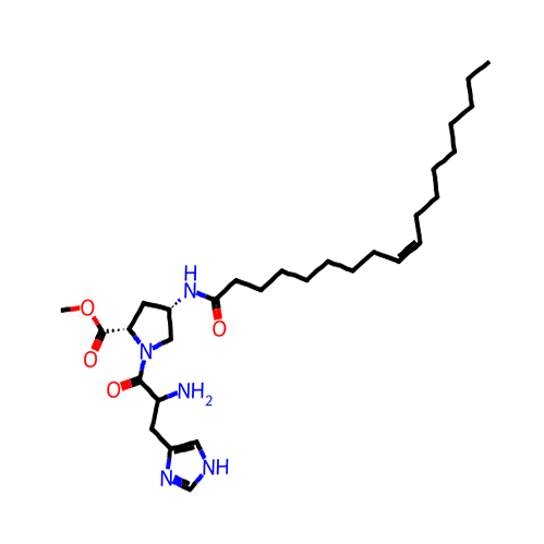 CCCCCCCC/C=C\CCCCCCCC(=O)N[C@H]1C[C@@H](C(=O)OC)N(C(=O)C(N)Cc2c[nH]cn2)C1